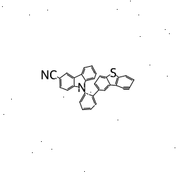 N#Cc1ccc2c(c1)c1ccccc1n2-c1ccccc1-c1ccc2sc3ccc#cc3c2c1